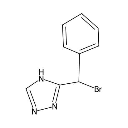 BrC(c1ccccc1)c1nnc[nH]1